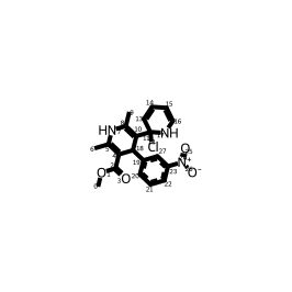 COC(=O)C1=C(C)NC(C)=C(C2(Cl)C=CC=CN2)C1c1cccc([N+](=O)[O-])c1